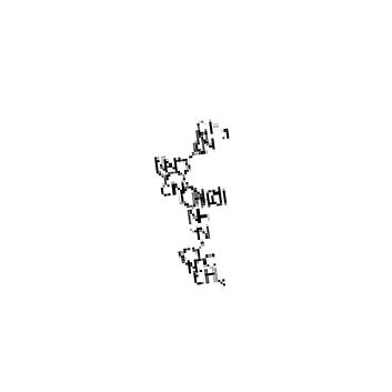 Cl.Cl.Cn1cc(-c2cc(-c3ccc(N4CCN(Cc5cccn(C)c5=O)CC4)nc3)c3c(C#N)cnn3c2)cn1